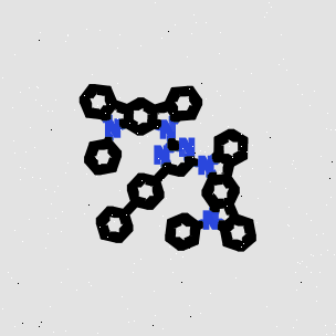 c1ccc(-c2ccc(-c3cc(-n4c5ccccc5c5cc6c7ccccc7n(-c7ccccc7)c6cc54)nc(-n4c5ccccc5c5cc6c7ccccc7n(-c7ccccc7)c6cc54)n3)cc2)cc1